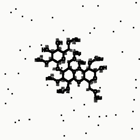 CCCCOCC1O[C@@H](O[C@H]2C(OCCCC)C(OCCCC)[C@H](O)O[C@H]2COCCCC)[C@@H](OCCCC)C(OCCCC)[C@H]1O[C@H]1OC(COCCCC)[C@H](O)[C@H](O)C1OCCCC